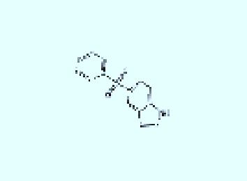 O=S(=O)(c1ccccc1)c1ccc2[nH]ccc2c1